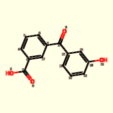 O=C(O)c1cccc(C(=O)c2cccc(O)c2)c1